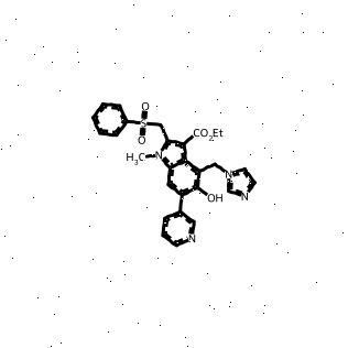 CCOC(=O)c1c(CS(=O)(=O)c2ccccc2)n(C)c2cc(-c3cccnc3)c(O)c(Cn3ccnc3)c12